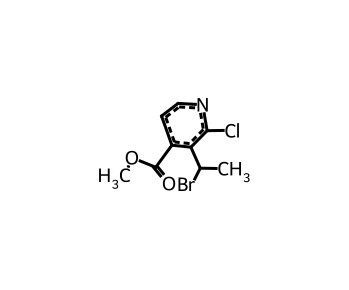 COC(=O)c1ccnc(Cl)c1C(C)Br